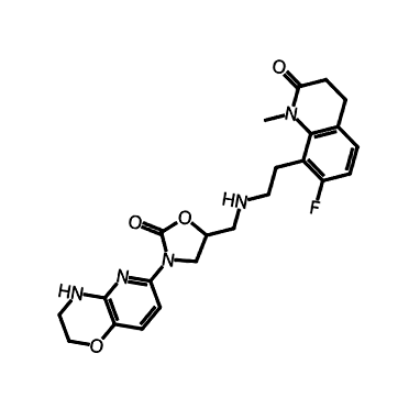 CN1C(=O)CCc2ccc(F)c(CCNCC3CN(c4ccc5c(n4)NCCO5)C(=O)O3)c21